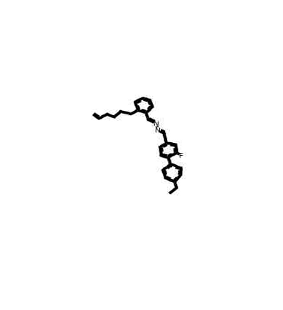 C=CCCCCc1ccccc1C=NN=Cc1ccc(-c2ccc(CC)cc2)c(F)c1